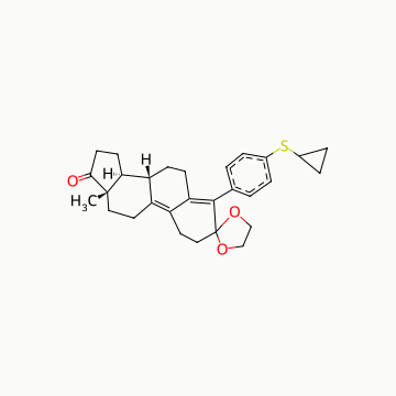 C[C@]12CCC3=C4CCC5(OCCO5)C(c5ccc(SC6CC6)cc5)=C4CC[C@H]3[C@@H]1CCC2=O